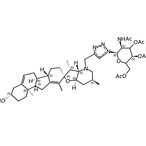 CC(=O)N[C@H]1C(OC(C)=O)[C@@H](OC(C)=O)C(COC(C)=O)O[C@H]1n1cc(CN2C[C@@H](C)C[C@H]3O[C@]4(CC[C@@H]5C(=C4C)C[C@H]4[C@H]5CC=C5C[C@@H](O)CC[C@@]54C)[C@H](C)[C@@H]32)nn1